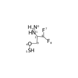 NNC(COS)C(F)F